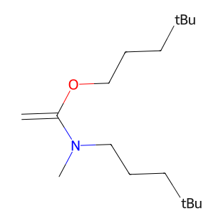 C=C(OCCCC(C)(C)C)N(C)CCCC(C)(C)C